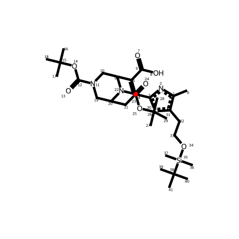 Cc1nc(C2=C(C(=O)O)C3CN(C(=O)OC(C)(C)C)CC(C2)N3C(=O)OC(C)(C)C)sc1CCO[Si](C)(C)C(C)(C)C